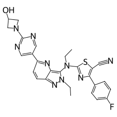 CCN(c1nc(-c2ccc(F)cc2)c(C#N)s1)c1c2nc(-c3cnc(N4CC(O)C4)nc3)ccc2nn1CC